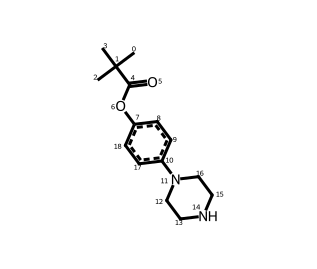 CC(C)(C)C(=O)Oc1ccc(N2CCNCC2)cc1